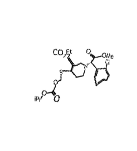 CCOC(=O)/C=C1\CN([C@H](C(=O)OC)c2ccccc2Cl)CCC1SCOC(=O)OC(C)C